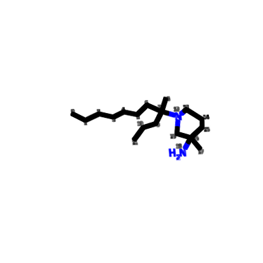 CCCCCCCC(C)(CCC)N1CCCC(C)(N)C1